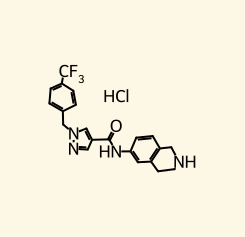 Cl.O=C(Nc1ccc2c(c1)CCNC2)c1cnn(Cc2ccc(C(F)(F)F)cc2)c1